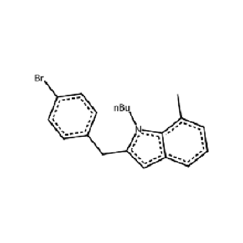 CCCCn1c(Cc2ccc(Br)cc2)cc2cccc(C)c21